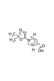 CC(C)(C)OC(=O)N1C[C@H]2C[C@@H]1C[C@@H]2C(=O)O